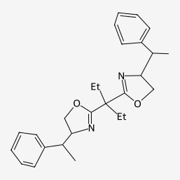 CCC(CC)(C1=NC(C(C)c2ccccc2)CO1)C1=NC(C(C)c2ccccc2)CO1